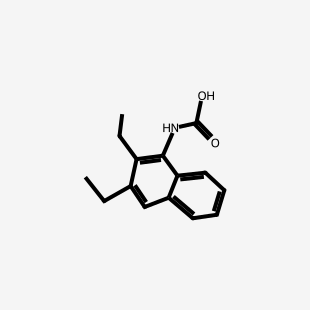 CCc1cc2ccccc2c(NC(=O)O)c1CC